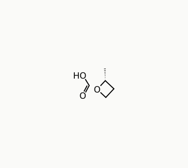 C[C@@H]1CCO1.O=CO